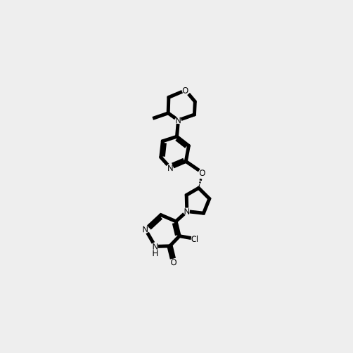 CC1COCCN1c1ccnc(O[C@@H]2CCN(c3cn[nH]c(=O)c3Cl)C2)c1